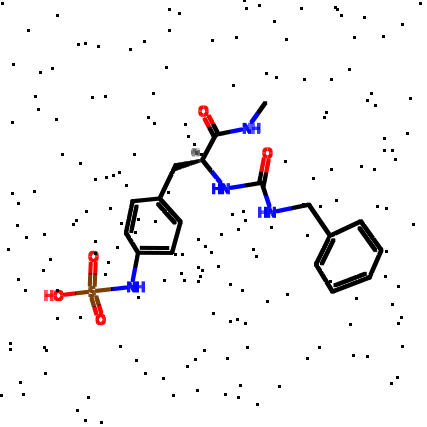 CNC(=O)[C@H](Cc1ccc(NS(=O)(=O)O)cc1)NC(=O)NCc1ccccc1